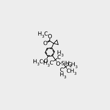 COC(=O)C1(c2ccc(OC)c(C(C)(C)O[SiH2]C(C)(C)C)c2)CC1